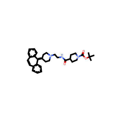 CC(C)(C)OC(=O)N1CCC(C(=O)NCCN2CCC(=C3c4ccccc4C=Cc4ccccc43)CC2)CC1